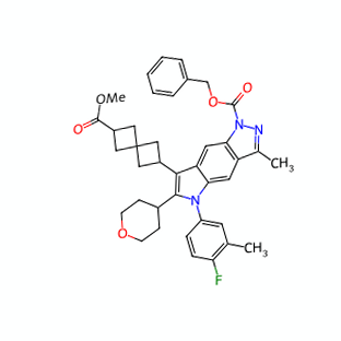 COC(=O)C1CC2(C1)CC(c1c(C3CCOCC3)n(-c3ccc(F)c(C)c3)c3cc4c(C)nn(C(=O)OCc5ccccc5)c4cc13)C2